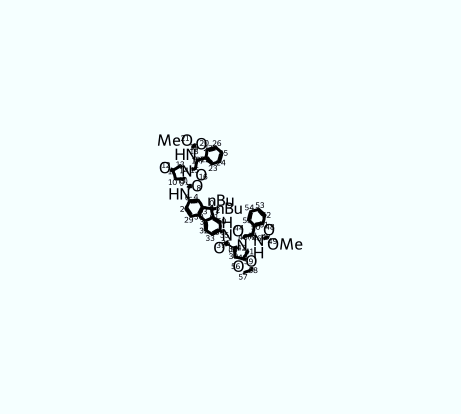 CCCCC1(CCCC)c2cc(NC(=O)[C@@H]3CC(=O)CN3C(=O)[C@H](NC(=O)OC)c3ccccc3)ccc2-c2ccc(NC(=O)[C@@H]3CC4(CN3C(=O)[C@H](NC(=O)OC)c3ccccc3)OCCO4)cc21